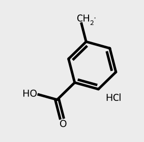 Cl.[CH2]c1cccc(C(=O)O)c1